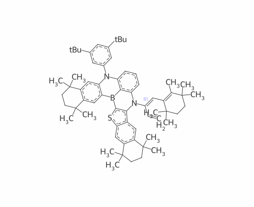 C=C/C(=C\C1=C(C)C(C)(C)CCC1(C)C)N1c2cccc3c2B(c2cc4c(cc2N3c2cc(C(C)(C)C)cc(C(C)(C)C)c2)C(C)(C)CCC4(C)C)c2sc3cc4c(cc3c21)C(C)(C)CCC4(C)C